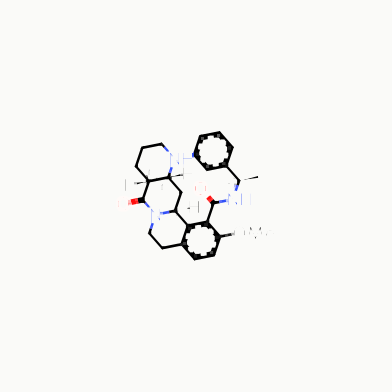 COc1ccc2c(c1C(=O)N[C@H](C)c1ccccc1)[C@@H]1C[C@H]3NCCC[C@H]3C(=O)N1CC2